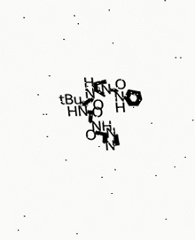 CC(C)(C)[C@H](NC(=O)CNC(=O)c1cnccn1)C(=O)N[C@@H]1CCN(C(=O)Nc2ccccc2)C1